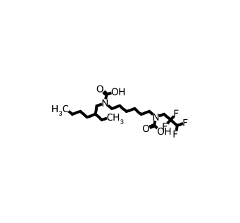 CCCCC(CC)CN(CCCCCCN(CC(F)(F)C(F)F)C(=O)O)C(=O)O